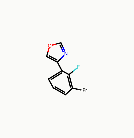 CC(C)c1[c]ccc(-c2cocn2)c1F